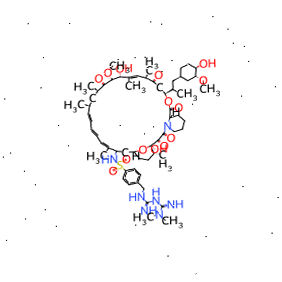 CO[C@@H]1C[C@@H](CC(C)[C@@H]2CC(=O)[C@H](C)/C=C(\C)[C@@H](O)[C@@H](OC)C(=O)[C@H](C)C[C@H](C)/C=C/C=C/C=C(/C)C(NS(=O)(=O)c3ccc(CNC(=N)NC(=N)N(C)C)cc3)C[C@@H]3CC[C@@H](C)[C@@](O)(O3)C(=O)C(=O)N3CCCC[C@H]3C(=O)O2)CC[C@H]1O